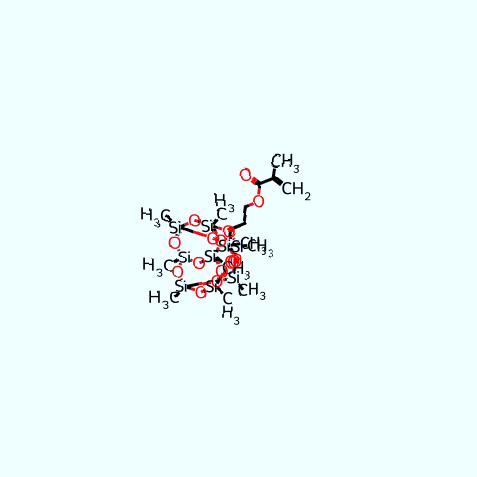 C=C(C)C(=O)OCCC[Si]1(C)O[Si]2(C)O[Si]3(C)O[Si]4(C)O[Si](C)(O1)O[Si]1(C)O[Si](C)(O2)O[Si](C)(O3)O[Si](C)(O4)O1